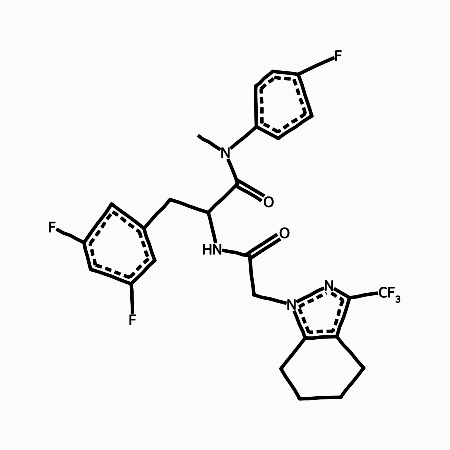 CN(C(=O)C(Cc1cc(F)cc(F)c1)NC(=O)Cn1nc(C(F)(F)F)c2c1CCCC2)c1ccc(F)cc1